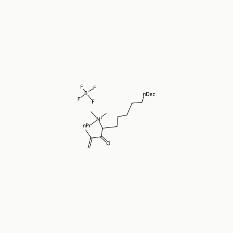 C=C(C)C(=O)C(CCCCCCCCCCCCCCC)[N+](C)(C)CCC.F[B-](F)(F)F